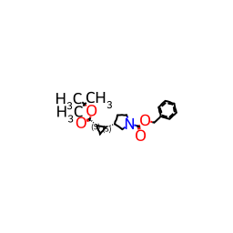 CC(C)(C)OC(=O)[C@H]1C[C@H]1C1CCN(C(=O)OCc2ccccc2)C1